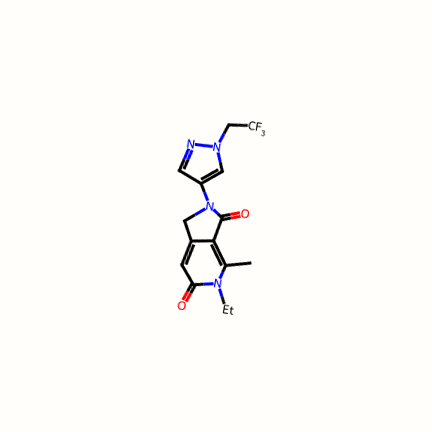 CCn1c(C)c2c(cc1=O)CN(c1cnn(CC(F)(F)F)c1)C2=O